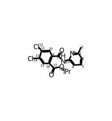 Cc1cccc(NC(=O)c2cc(Cl)c(Cl)cc2C(=O)OC(C)C)n1